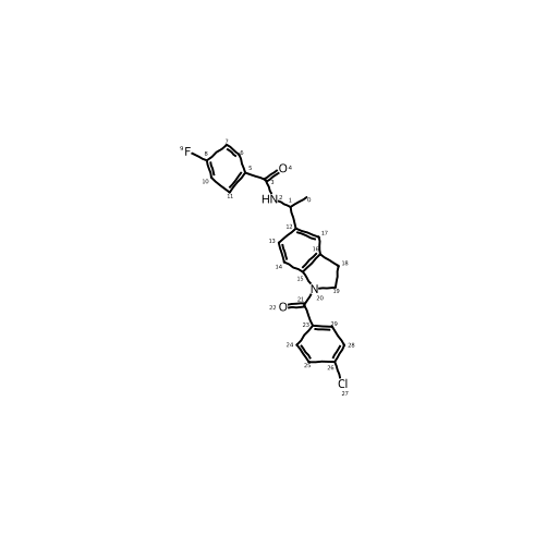 CC(NC(=O)c1ccc(F)cc1)c1ccc2c(c1)CCN2C(=O)c1ccc(Cl)cc1